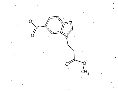 COC(=O)CCn1ccc2ccc([N+](=O)[O-])cc21